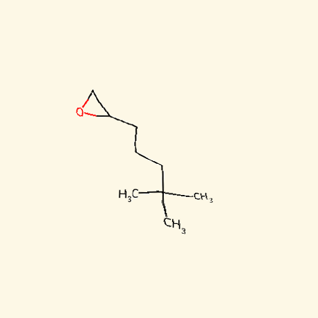 CC(C)(C)CCCC1CO1